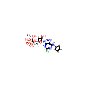 CCC(COC)(OC[C@H]1O[C@@H](n2nnc3c(NC4CCCC4)nc(Cl)nc32)[C@H](O)[C@@H]1O)P(=O)(O)O